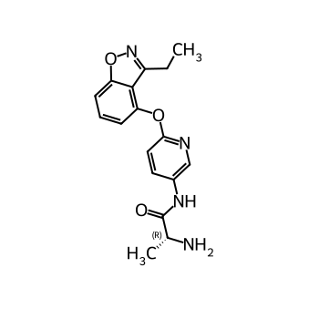 CCc1noc2cccc(Oc3ccc(NC(=O)[C@@H](C)N)cn3)c12